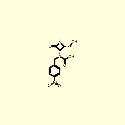 O=C1N[C@H](CO)[C@@H]1N(Cc1ccc([N+](=O)[O-])cc1)C(=O)O